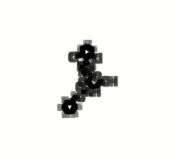 O=C(O)CC(NC(=O)OCc1ccccc1)C(=O)Cn1nnc(-c2c(Cl)cccc2Cl)n1